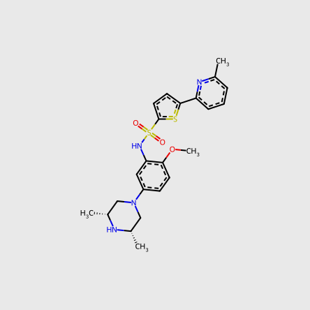 COc1ccc(N2C[C@@H](C)N[C@@H](C)C2)cc1NS(=O)(=O)c1ccc(-c2cccc(C)n2)s1